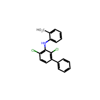 O=C(O)c1ccccc1Nc1c(Cl)ccc(-c2ccccc2)c1Cl